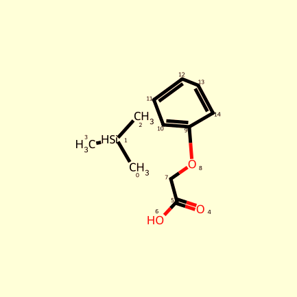 C[SiH](C)C.O=C(O)COc1ccccc1